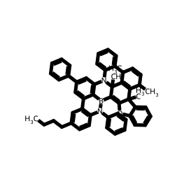 CCCCc1ccc2c(c1)-c1cc(-c3ccccc3)cc3c1B(C1=C4Oc5ccccc5C4(C)C4=C5C(C)(C=CC4C)c4ccccc4N3C15C)N2c1ccccc1